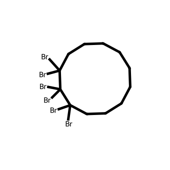 BrC1(Br)CCCCCCCCCC(Br)(Br)C1(Br)Br